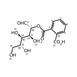 O=C[C@H](OC(=O)c1ccccc1C(=O)O)[C@@H](O)[C@H](O)[C@H](O)CO